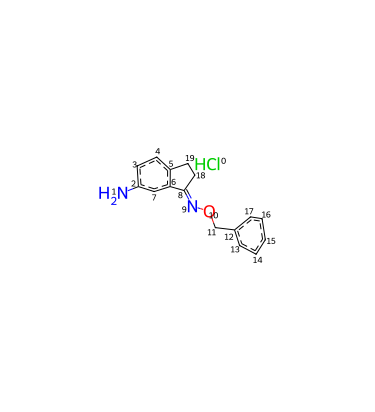 Cl.Nc1ccc2c(c1)C(=NOCc1ccccc1)CC2